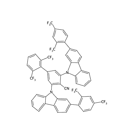 N#Cc1c(-n2c3ccccc3c3ccc(-c4ccc(C(F)(F)F)cc4C(F)(F)F)cc32)cc(-c2c(C(F)(F)F)cccc2C(F)(F)F)cc1-n1c2ccccc2c2ccc(-c3ccc(C(F)(F)F)cc3C(F)(F)F)cc21